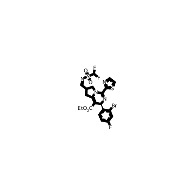 CCOC(=O)C1=C2CC(/C=N\S(=O)(=O)C(F)F)CN2C(c2nccs2)=N[C@H]1c1ccc(F)cc1Br